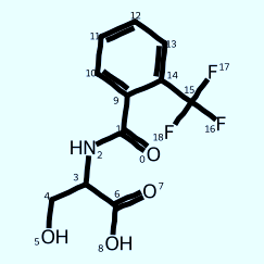 O=C(NC(CO)C(=O)O)c1ccccc1C(F)(F)F